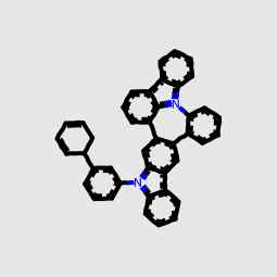 C1=CCC(c2cccc(-n3c4ccccc4c4cc5c(cc43)-c3cccc4c6ccccc6n(c34)-c3ccccc3-5)c2)C=C1